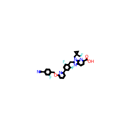 N#Cc1ccc(COc2cccc(-c3cc(F)c(Cc4nc5ccc(C(=O)O)nc5n4CC4(CF)CC4)c(F)c3)n2)c(F)c1